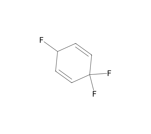 FC1C=CC(F)(F)C=C1